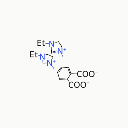 CCN1C=[N+](C)CC1.CCN1C=[N+](C)CC1.O=C([O-])c1ccccc1C(=O)[O-]